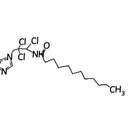 CCCCCCCCCCCC(=O)NC(Cl)C(Cl)(Cl)Cn1ccnc1